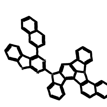 c1ccc2cc(-c3nc(-n4c5ccccc5c5c6c7ccc8ccccc8c7n7c8ccccc8c(cc54)c67)nc4sc5ccccc5c34)ccc2c1